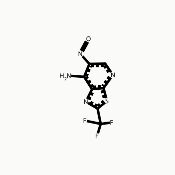 Nc1c(N=O)cnc2sc(C(F)(F)F)nc12